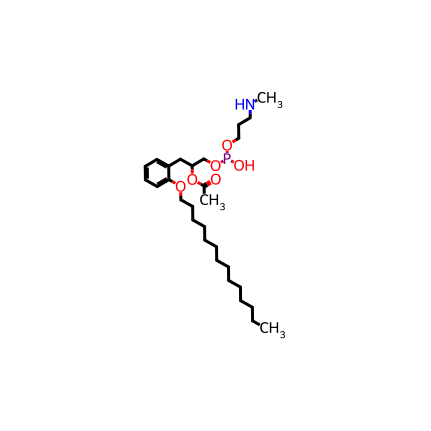 CCCCCCCCCCCCCCOc1ccccc1CC(COP(O)OCCCNC)OC(C)=O